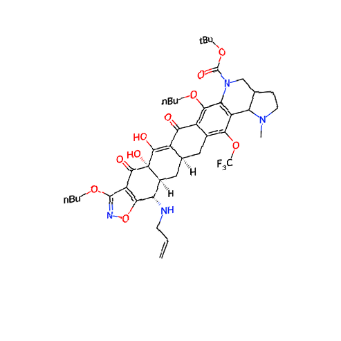 C=CCN[C@@H]1c2onc(OCCCC)c2C(=O)[C@@]2(O)C(O)=C3C(=O)c4c(c(OC(F)(F)F)c5c(c4OCCCC)N(C(=O)OC(C)(C)C)CC4CCN(C)C54)C[C@H]3C[C@@H]12